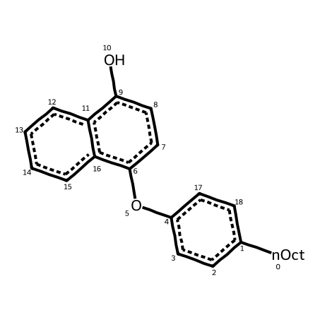 CCCCCCCCc1ccc(Oc2ccc(O)c3ccccc23)cc1